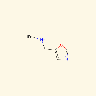 CC(C)NCc1cnco1